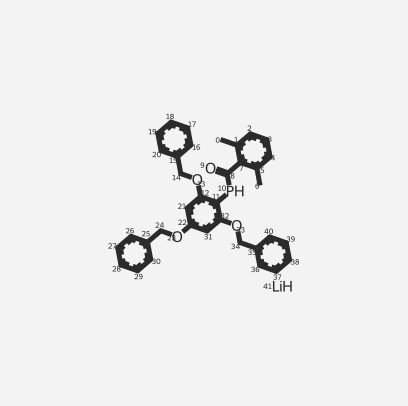 Cc1cccc(C)c1C(=O)Pc1c(OCc2ccccc2)cc(OCc2ccccc2)cc1OCc1ccccc1.[LiH]